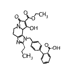 CCCc1nc2c(n1Cc1ccc(-c3ccccc3C(=O)O)cc1)C1C(O)=C(C(=O)OCC)C(=O)N1CC2